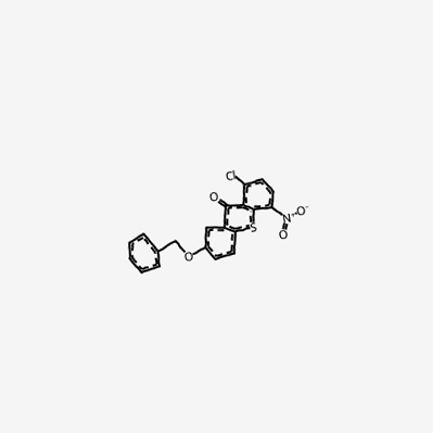 O=c1c2cc(OCc3ccccc3)ccc2sc2c([N+](=O)[O-])ccc(Cl)c12